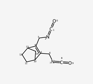 O=C=NCC1=C(CN=C=O)C2CCC1C2